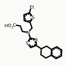 CCc1ccc(CN(CCC(=O)O)c2nc(C3CCc4ccccc4C3)cs2)s1